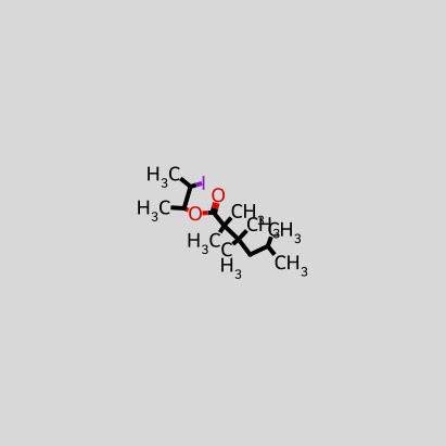 CC(C)CC(C)(C)C(C)(C)C(=O)OC(C)C(C)I